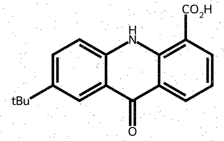 CC(C)(C)c1ccc2[nH]c3c(C(=O)O)cccc3c(=O)c2c1